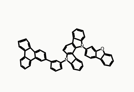 c1cc(-c2ccc3c4ccccc4c4ccccc4c3c2)cc(-n2c3ccccc3c3c2ccc2c4ccccc4n(-c4ccc5c(c4)oc4ccccc45)c23)c1